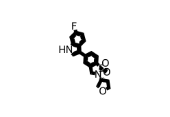 O=S1(=O)c2ccc(-c3c[nH]c4cc(F)ccc34)cc2CN1[C@@H]1CCOC1